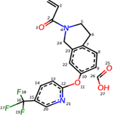 C=CC(=O)N1CCc2ccc(Oc3ccc(C(F)(F)F)cn3)cc2C1.O=CO